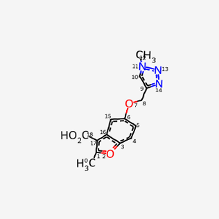 Cc1oc2ccc(OCc3cn(C)nn3)cc2c1C(=O)O